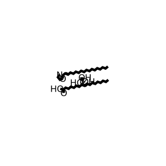 CCCCCCCCC=CCCCCCCCC(=O)O.CCCCCCCCCCCCCCCC=CC1=NCCO1.OB(O)O